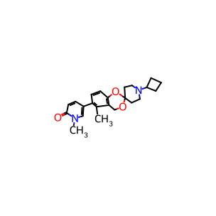 Cc1c(-c2ccc(=O)n(C)c2)ccc2c1COC1(CCN(C3CCC3)CC1)O2